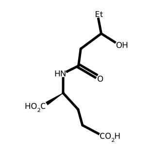 CCC(O)CC(=O)N[C@@H](CCC(=O)O)C(=O)O